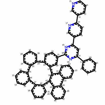 c1ccc(-c2cc(-c3ccc(-c4cccnc4)nc3)nc(-c3ccc4c5ccccc5c5ccccc5c5ccccc5c5c6ccccc6c6ccccc6c5c4c3)n2)cc1